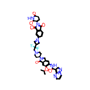 CC(C)Oc1cc2c(cc1NC(=O)c1cnn3cccnc13)CN(C1CCN(CC(F)(F)C3CN(c4ccc5c(c4)C(=O)N(C4CCC(=O)NC4=O)C5=O)C3)CC1)C2=O